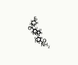 NC(=O)c1cncc(-n2ccc3cc(C(=O)N4CCC(F)CC4)cnc32)c1